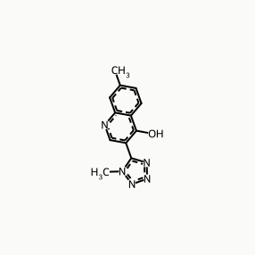 Cc1ccc2c(O)c(-c3nnnn3C)cnc2c1